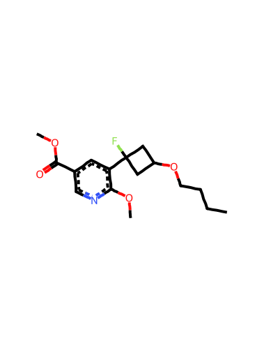 CCCCOC1CC(F)(c2cc(C(=O)OC)cnc2OC)C1